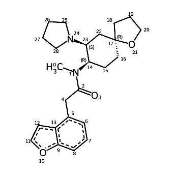 CN(C(=O)Cc1cccc2occc12)[C@@H]1CC[C@@]2(CCCO2)C[C@@H]1N1CCCC1